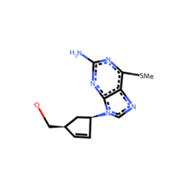 CSc1nc(N)nc2c1ncn2[C@H]1C=C[C@@H](C[O])C1